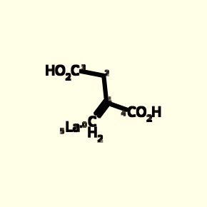 C=C(CC(=O)O)C(=O)O.[La]